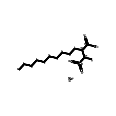 CCCCCCCCCCC(C(=O)[O-])C(C)P(=O)=O.[Na+]